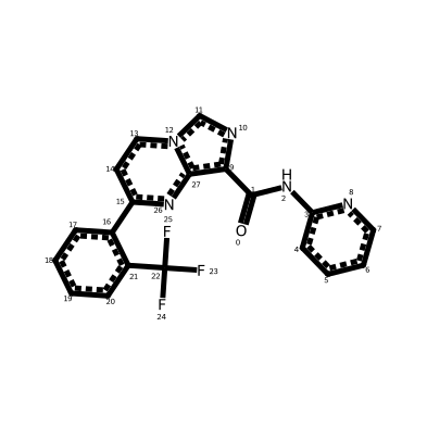 O=C(Nc1ccccn1)c1ncn2ccc(-c3ccccc3C(F)(F)F)nc12